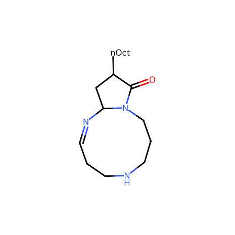 CCCCCCCCC1CC2N=CCCNCCCN2C1=O